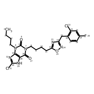 CCCCn1c(=O)n(CCCCc2nc(Cc3ccc(F)cc3Cl)no2)c(=O)c2[nH]c(Cl)nc21